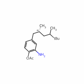 CC(=O)Oc1ccc(C[C@H](C)CC(C)C(C)(C)C)cc1N